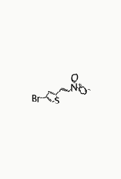 O=[N+]([O-])C=Cc1cc(Br)cs1